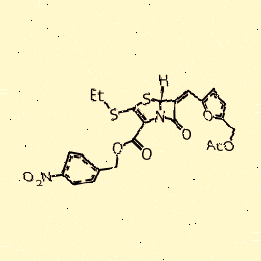 CCSC1=C(C(=O)OCc2ccc([N+](=O)[O-])cc2)N2C(=O)/C(=C\c3ccc(COC(C)=O)o3)[C@H]2S1